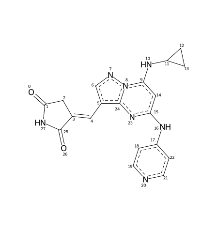 O=C1C/C(=C\c2cnn3c(NC4CC4)cc(Nc4ccncc4)nc23)C(=O)N1